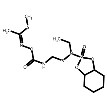 CCN(SCNC(=O)ON=C(C)SC)P1(=O)OC2CCCCC2O1